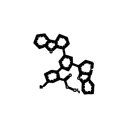 COC(=O)c1cc(Br)ccc1-c1cc(-c2cccc3c2oc2ccccc23)cc(-c2cccc3c2oc2ccccc23)c1